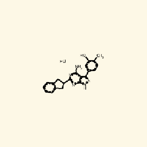 Cc1ccc(-c2n[nH]c3nc(C4Cc5ccccc5C4)nc(N)c23)cc1O.Cl